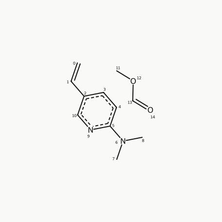 C=Cc1ccc(N(C)C)nc1.COC=O